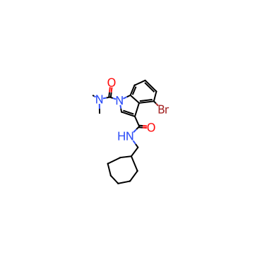 CN(C)C(=O)n1cc(C(=O)NCC2CCCCCC2)c2c(Br)cccc21